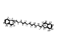 c1ccc2c[n+](CCCCCCCCCCCC[n+]3ccc4ccccc4c3)ccc2c1